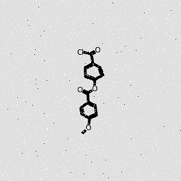 COc1ccc(C(=O)Oc2ccc(C(=O)Cl)cc2)cc1